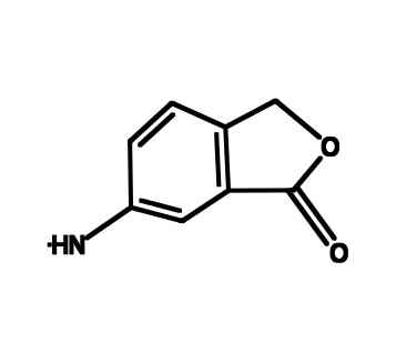 [NH]c1ccc2c(c1)C(=O)OC2